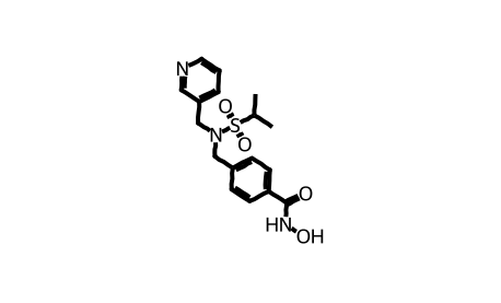 CC(C)S(=O)(=O)N(Cc1ccc(C(=O)NO)cc1)Cc1cccnc1